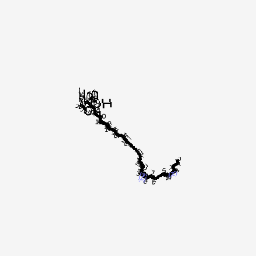 CCC/C=C\CCC/C=C\CCCCCCCCCCCCCC(O)(C[N+](C)(C)C)P(=O)(O)O